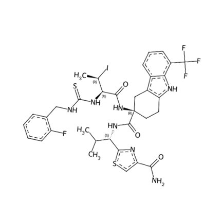 CC(C)[C@H](NC(=O)[C@@]1(NC(=O)[C@@H](NC(=S)NCc2ccccc2F)[C@@H](C)I)CCc2[nH]c3c(C(F)(F)F)cccc3c2C1)c1nc(C(N)=O)cs1